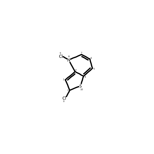 ClC1C=C2C(=CC=CN2Cl)S1